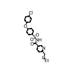 CCOCc1ccc(C(=O)NS(=O)(=O)c2ccc(Oc3ccc(Cl)cc3)cc2)cn1